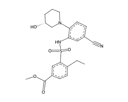 CCc1ccc(C(=O)OC)cc1S(=O)(=O)Nc1cc(C#N)ccc1N1CCC[C@@H](O)C1